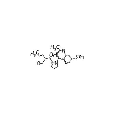 CCCC(C=O)C(O)[C@@H]1CCCN1c1cc(C)nc2cc(CO)ccc12